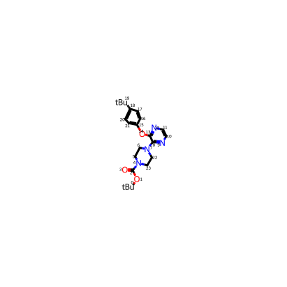 CC(C)(C)OC(=O)N1CCN(c2nccnc2Oc2ccc(C(C)(C)C)cc2)CC1